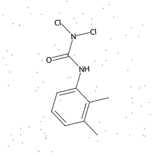 Cc1cccc(NC(=O)N(Cl)Cl)c1C